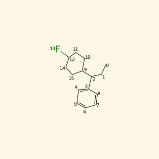 CCC(c1ccccc1)C1CCC(F)CC1